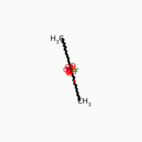 CCCCCCCCCCCCCCCC(=O)[C](Br)C(C(=O)CCCCCCCCCCCCCCC)P(=O)(O)O